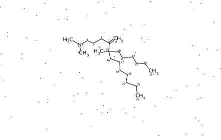 C=C(CCCN(C)C)C(C)(CCCCCC)CCCCCCC